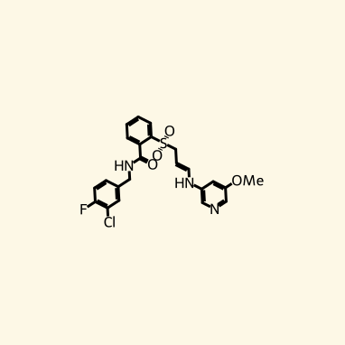 COc1cncc(NC=CCS(=O)(=O)c2ccccc2C(=O)NCc2ccc(F)c(Cl)c2)c1